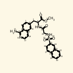 COC(=O)C(Cc1ccc2c(N)nccc2c1)NC(=O)CNS(=O)(=O)c1ccc2ccccc2c1